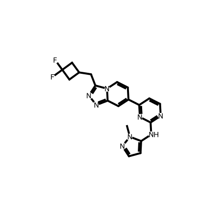 Cn1nccc1Nc1nccc(-c2ccn3c(CC4CC(F)(F)C4)nnc3c2)n1